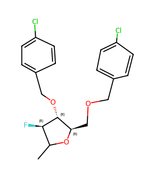 CC1O[C@H](COCc2ccc(Cl)cc2)[C@@H](OCc2ccc(Cl)cc2)[C@@H]1F